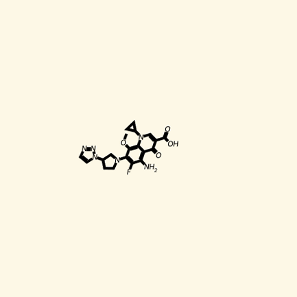 COc1c(N2CCC(n3ccnn3)C2)c(F)c(N)c2c(=O)c(C(=O)O)cn(C3CC3)c12